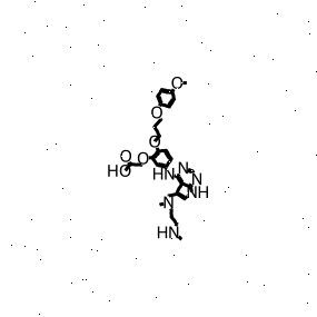 CNCCCN(C)Cc1c[nH]c2ncnc(Nc3ccc(OCCCOc4ccc(OC)cc4)c(OCC(=O)O)c3)c12